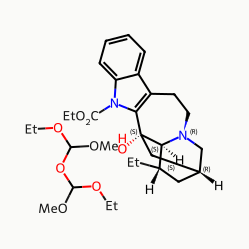 CCOC(=O)n1c2c(c3ccccc31)CC[N@@]1C[C@@H]3C[C@H](CC)[C@H]1[C@@]2(O)C3.CCOC(OC)OC(OC)OCC